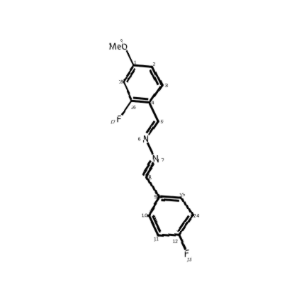 COc1ccc(C=NN=Cc2ccc(F)cc2)c(F)c1